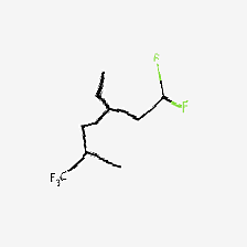 CC(CC(F)F)CC(C)C(F)(F)F